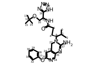 CC(C)[C@H](CCC(=O)NC(COC(C)(C)C)c1nnn[nH]1)N1Cc2cc(Oc3ccccc3)ncc2N=C1N